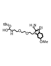 CC[n+]1c(CN)n(CCOCCOCCNC(O)OC(C)(C)C)c2cc(OC)ccc21